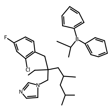 CC(C)B(c1ccccc1)c1ccccc1.CCC(Cc1ccc(F)cc1Cl)(CC(C)CC(C)C)Cn1ccnc1